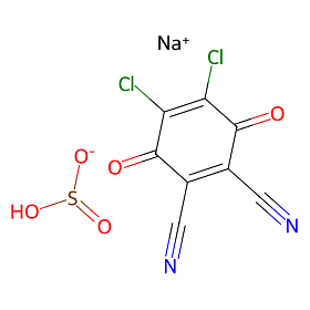 N#CC1=C(C#N)C(=O)C(Cl)=C(Cl)C1=O.O=S([O-])O.[Na+]